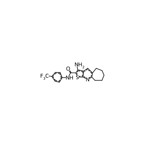 Nc1c(C(=O)Nc2ccc(C(F)(F)F)cc2)sc2nc3c(cc12)CCCCC3